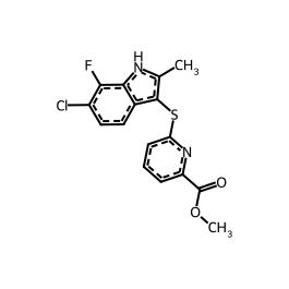 COC(=O)c1cccc(Sc2c(C)[nH]c3c(F)c(Cl)ccc23)n1